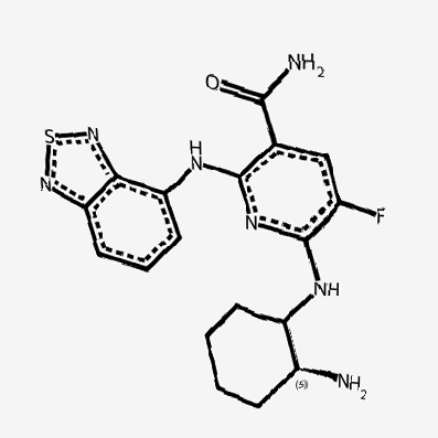 NC(=O)c1cc(F)c(NC2CCCC[C@@H]2N)nc1Nc1cccc2nsnc12